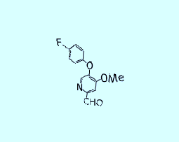 COc1cc(C=O)ncc1Oc1ccc(F)cc1